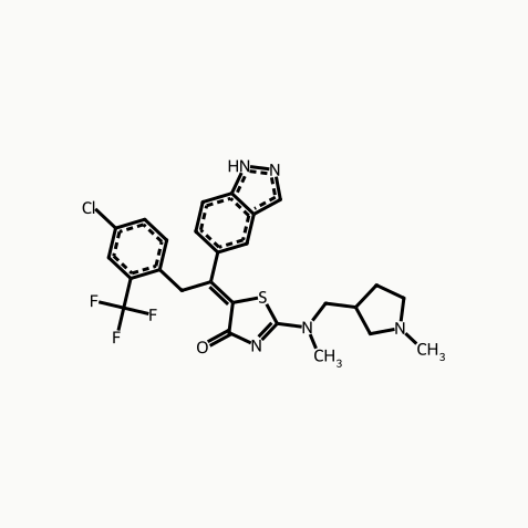 CN1CCC(CN(C)C2=NC(=O)C(=C(Cc3ccc(Cl)cc3C(F)(F)F)c3ccc4[nH]ncc4c3)S2)C1